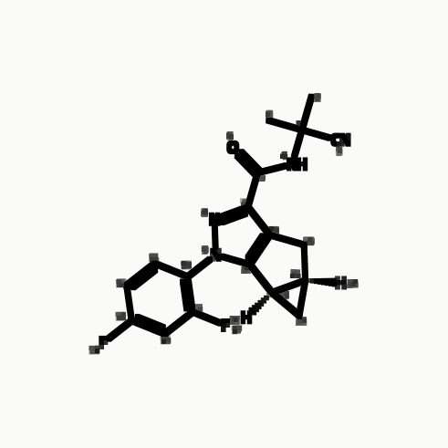 CC(C)(C#N)NC(=O)c1nn(-c2ccc(F)cc2F)c2c1C[C@H]1C[C@@H]21